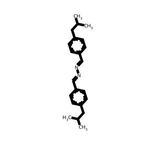 CC(C)Cc1ccc(/C=N/N=C/c2ccc(CC(C)C)cc2)cc1